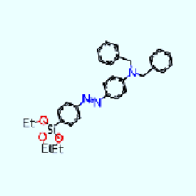 CCO[Si](OCC)(OCC)c1ccc(/N=N/c2ccc(N(Cc3ccccc3)Cc3ccccc3)cc2)cc1